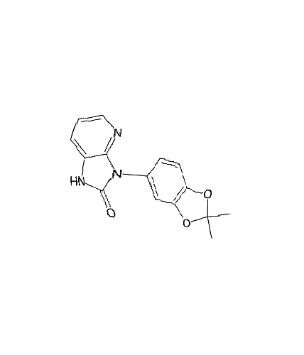 CC1(C)Oc2ccc(-n3c(=O)[nH]c4cccnc43)cc2O1